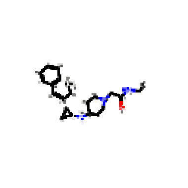 CCNC(=O)CN1CCC(N[C@H]2C[C@@H]2/C(=C/c2ccccc2)CC)CC1